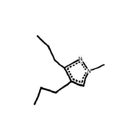 CCCc1cn(C)nc1CCC